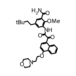 COc1c(NC(=O)C(=O)c2ccc(OCCN3CCOCC3)c3ccccc23)cc(CCC(C)(C)C)cc1C(N)=O